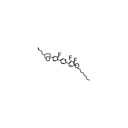 C=CCCC1CCC(c2ccc(-c3ccc(-c4ccc(OCCCCCCCC)c(F)c4F)cc3)c(F)c2)OC1